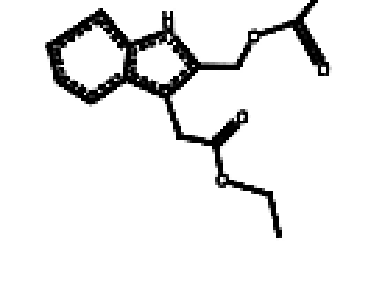 CCOC(=O)Cc1c(COC(C)=O)[nH]c2ccccc12